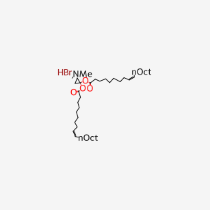 Br.CCCCCCCC/C=C\CCCCCCCC(=O)OC1(OC(=O)CCCCCCC/C=C\CCCCCCCC)CC1.CNC